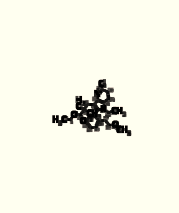 CCOC(=O)C(C)(C)Cc1c(-c2ccccc2CCOC)n(CC)c2ccc(Cl)nc12